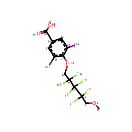 COCC(F)(F)C(F)(F)C(F)(F)COc1c(I)cc(C(=O)O)cc1I